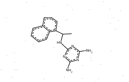 CC(Nc1nc(N)nc(N)n1)c1cccc2ccccc12